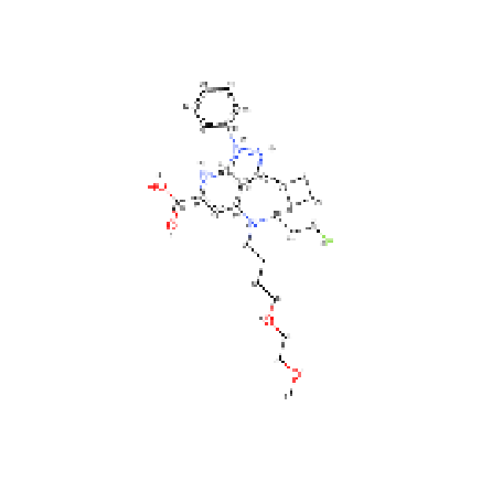 COCCOCCCCN(CCCF)c1cc(C(=O)O)nc2c1c(C1CCC1)nn2-c1ccccc1